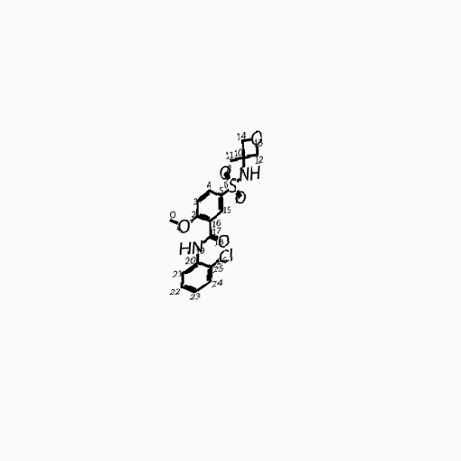 COc1ccc(S(=O)(=O)NC2(C)COC2)cc1C(=O)Nc1ccccc1Cl